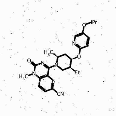 CC[C@H]1CN(c2nc(=O)n(C)c3ccc(C#N)nc23)[C@@H](C)C[C@H]1Oc1ccc(OC(C)C)cn1